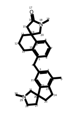 Cc1cc(Cc2cccc3c2CCCC32CC(=O)N(C)C2)cc2c1CCC21CCN(C)C1